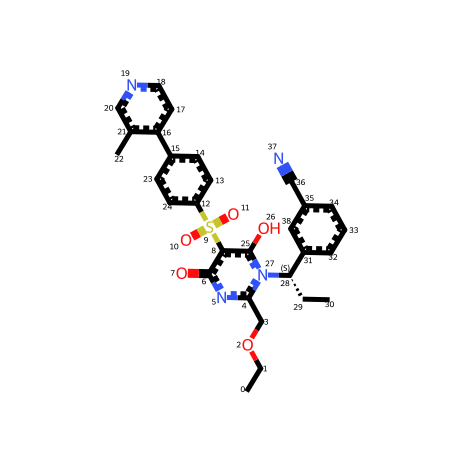 CCOCc1nc(=O)c(S(=O)(=O)c2ccc(-c3ccncc3C)cc2)c(O)n1[C@@H](CC)c1cccc(C#N)c1